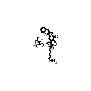 CCC1(OC(=O)CCCCCN)C(=O)OCc2c1cc1n(c2=O)Cc2cc3ccccc3nc2-1.O=C(O)C(F)(F)F